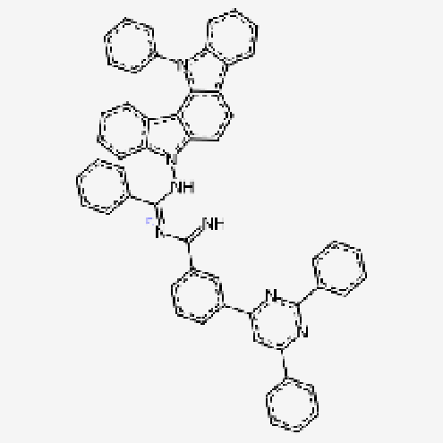 N=C(/N=C(\Nn1c2ccccc2c2c1ccc1c3ccccc3n(-c3ccccc3)c12)c1ccccc1)c1cccc(-c2cc(-c3ccccc3)nc(-c3ccccc3)n2)c1